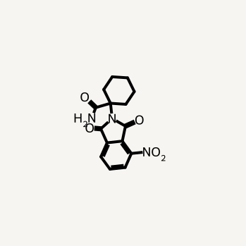 NC(=O)C1(N2C(=O)c3cccc([N+](=O)[O-])c3C2=O)CCCCC1